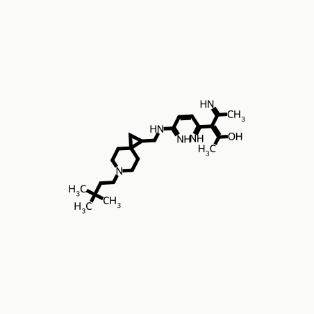 CC(=N)/C(C(=N)/C=C\C(=N)NCC1CC12CCN(CCC(C)(C)C)CC2)=C(/C)O